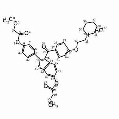 COCC(=O)Oc1ccc(-c2sc3cc(OC(=O)COC)ccc3c2C(=O)c2ccc(OCCN3CCCCC3)cc2)cc1.Cl